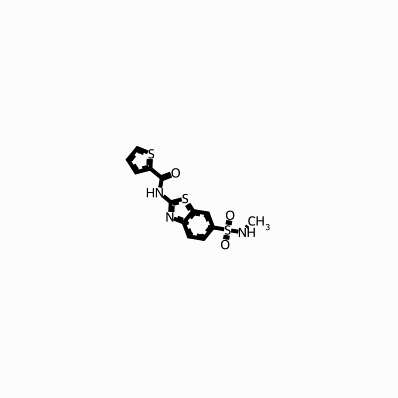 CNS(=O)(=O)c1ccc2nc(NC(=O)c3cccs3)sc2c1